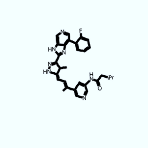 C/C(=C\C=C1\NN=C(c2nc3c(-c4ccccc4F)cncc3[nH]2)C1C)c1cncc(NC(=O)CC(C)C)c1